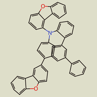 c1ccc(-c2cccc(-c3ccccc3N(c3ccc(-c4ccc5oc6ccccc6c5c4)cc3)c3cccc4oc5ccccc5c34)c2)cc1